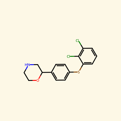 Clc1cccc(Sc2ccc(C3CNCCO3)cc2)c1Cl